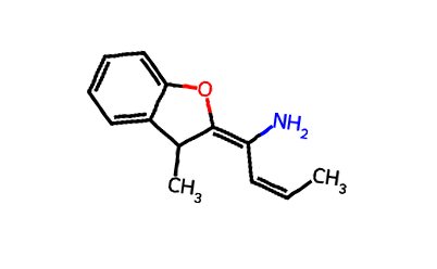 C/C=C\C(N)=C1\Oc2ccccc2C1C